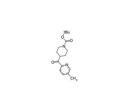 Cc1ccc(C(=O)C2CCN(C(=O)OC(C)(C)C)CC2)nc1